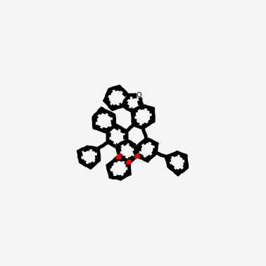 c1ccc(-c2cc(-c3ccccc3)cc(-c3ccc4oc5ccccc5c4c3-c3c4ccccc4c(-c4ccccc4)c4ccccc34)c2)cc1